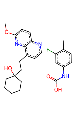 COc1ccc2nccc(CCC3(O)CCCCC3)c2n1.Cc1ccc(NC(=O)O)cc1F